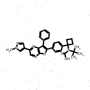 Cn1cc(-c2cnc3oc(-c4ccc(C5(N(C(=O)O)C(C)(C)C)CCC5)cc4)c(-c4ccccc4)c3n2)cn1